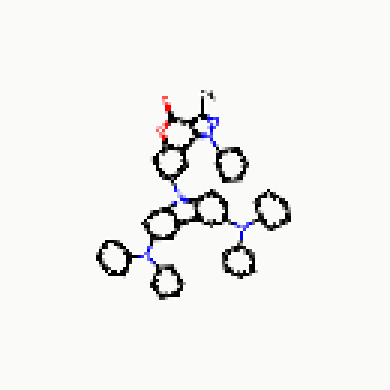 Cc1nn(-c2ccccc2)c2c1c(=O)oc1ccc(-n3c4ccc(N(c5ccccc5)c5ccccc5)cc4c4cc(N(c5ccccc5)c5ccccc5)ccc43)cc12